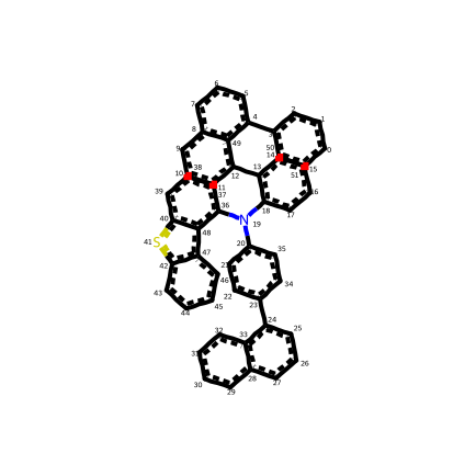 c1ccc(-c2cccc3cccc(-c4ccccc4N(c4ccc(-c5cccc6ccccc56)cc4)c4cccc5sc6ccccc6c45)c23)cc1